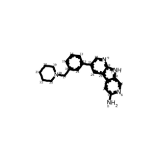 Nc1cc2c(cn1)[nH]c1ncc(-c3cccc(CN4CCCCC4)c3)cc12